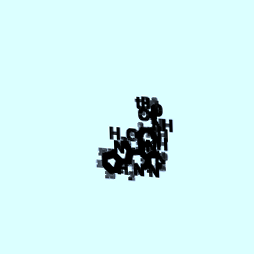 [2H]C1([2H])[C@@H](NC(=O)OC(C)(C)C)CC(=C)c2c(-c3cnc4ccccc4c3)c3c(N)ncnc3n21